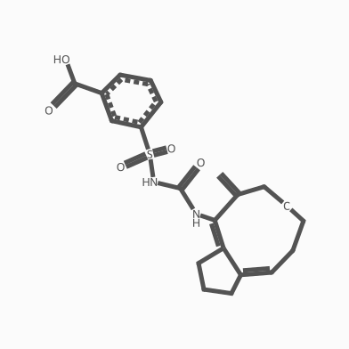 C=C1CCCC/C=C2/CCC/C2=C/1NC(=O)NS(=O)(=O)c1cccc(C(=O)O)c1